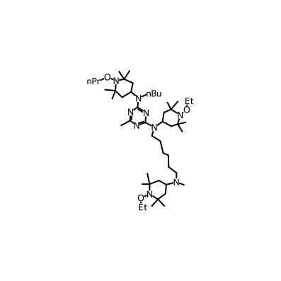 CCCCN(c1nc(C)nc(N(CCCCCCN(C)C2CC(C)(C)N(OCC)C(C)(C)C2)C2CC(C)(C)N(OCC)C(C)(C)C2)n1)C1CC(C)(C)N(OCCC)C(C)(C)C1